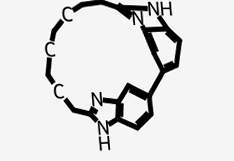 c1cc2[nH]c3nc2cc1-c1ccc2[nH]c(nc2c1)CCCCCCCC3